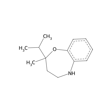 CC(C)C1(C)CCNc2ccccc2O1